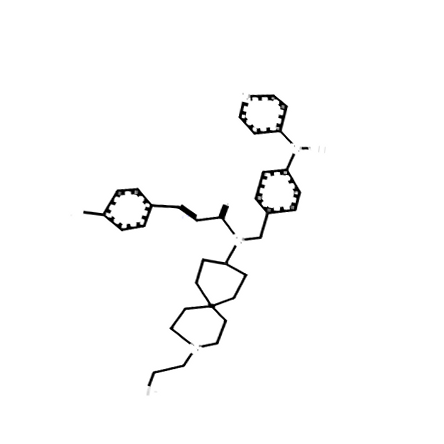 CC(C)CCN1CCC2(CCC(N(Cc3ccc(N(C)c4ccncc4)cc3)C(=O)/C=C/c3ccc(C(F)(F)F)cc3)CC2)CC1